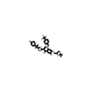 CC1(C)OCC(COc2cc3c(cc2F)c(=O)c(-c2noc(C(C)(C)c4ccc(F)cc4)n2)cn3Cc2ccc(C(F)(F)F)cc2)O1